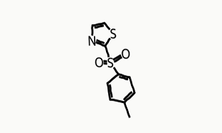 Cc1ccc(S(=O)(=O)c2nccs2)cc1